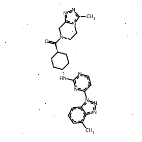 Cc1cccc2c1nnn2-c1ccnc(N[C@H]2CC[C@H](C(=O)N3CCn4c(C)nnc4C3)CC2)n1